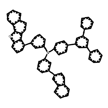 c1ccc(-c2cc(-c3ccccc3)cc(-c3ccc(N(c4cccc(-c5ccc6ccccc6c5)c4)c4cccc(-c5cccc6oc7c8ccccc8ccc7c56)c4)cc3)c2)cc1